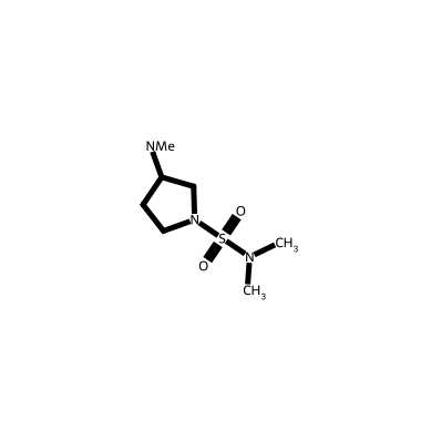 CNC1CCN(S(=O)(=O)N(C)C)C1